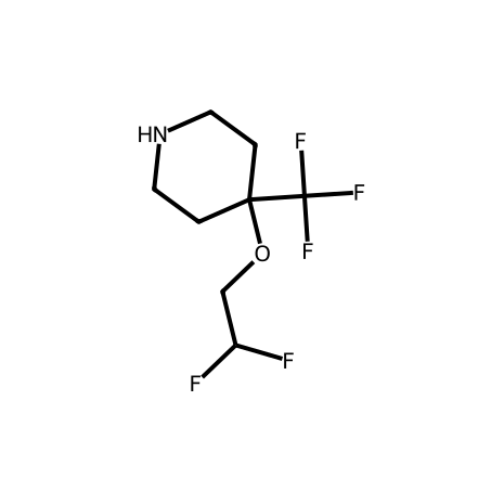 FC(F)COC1(C(F)(F)F)CCNCC1